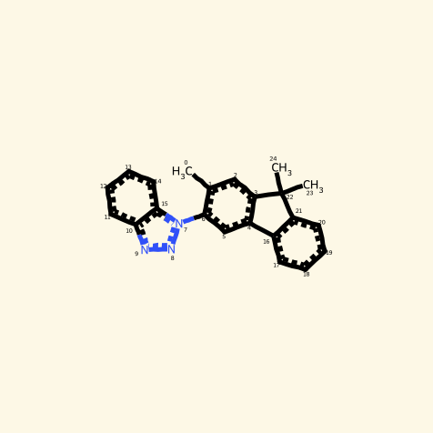 Cc1cc2c(cc1-n1nnc3ccccc31)-c1ccccc1C2(C)C